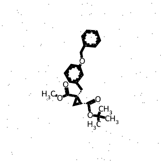 COC(=O)[C@]1(Cc2cccc(OCc3ccccc3)c2)C[C@H]1C(=O)OC(C)(C)C